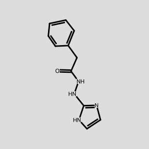 O=C(Cc1ccccc1)NNc1ncc[nH]1